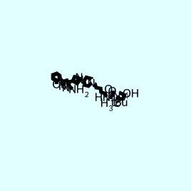 C[C@@H]1C[C@@H](O)CN1C(=O)[C@@H](NC(=O)CCCCN1CCC(n2cc(-c3cc(-c4ccccc4O)nnc3N)cn2)CC1)C(C)(C)C